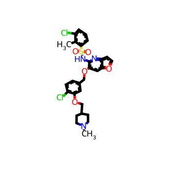 Cc1c(Cl)cccc1S(=O)(=O)Nc1nc2ccoc2cc1OCc1ccc(Cl)c(OCC2CCN(C)CC2)c1